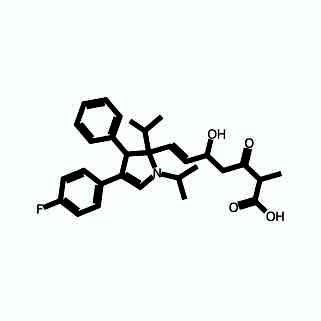 CC(C(=O)O)C(=O)CC(O)C=CC1(C(C)C)C(c2ccccc2)C(c2ccc(F)cc2)=CN1C(C)C